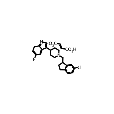 FC1=CCC2=NC=C(C3CCN(CC4CCc5ccc(Cl)cc54)CC3)C2=C1.O=C(O)/C=C/C(=O)O